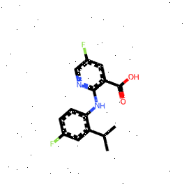 CC(C)c1cc(F)ccc1Nc1ncc(F)cc1C(=O)O